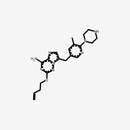 C=CCCOc1nc(N)c2ncc(Cc3cnc(N4CCNCC4)c(C)c3)n2n1